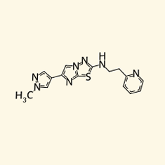 Cn1cc(-c2cn3nc(NCCc4ccccn4)sc3n2)cn1